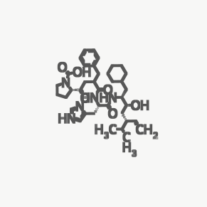 C=C[C@@H](C[C@H](O)[C@H](CC1CCCCC1)NC(=O)[C@H](Cc1c[nH]cn1)NC(=O)C(CC(=O)[C@@H]1CCCN1C(=O)O)Cc1ccccc1)C(C)C